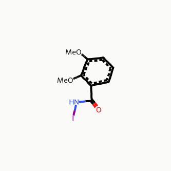 COc1cccc(C(=O)NI)c1OC